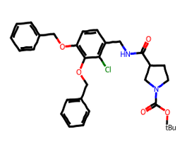 CC(C)(C)OC(=O)N1CCC(C(=O)NCc2ccc(OCc3ccccc3)c(OCc3ccccc3)c2Cl)C1